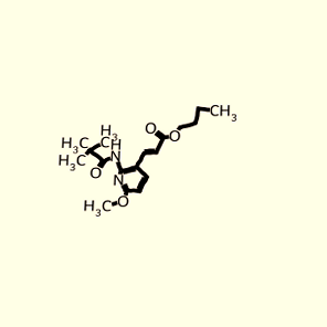 CCCCOC(=O)C=Cc1ccc(OC)nc1NC(=O)C(C)(C)C